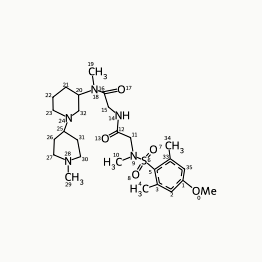 COc1cc(C)c(S(=O)(=O)N(C)CC(=O)NCC(=O)N(C)C2CCCN(C3CCN(C)CC3)C2)c(C)c1